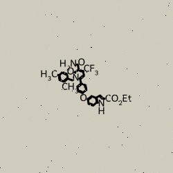 CCOC(=O)c1cc2cc(Oc3ccc(-c4cc(C(F)(F)F)c(C(N)=O)c(=O)n4Cc4ccc(C)cc4C)cc3)ccc2[nH]1